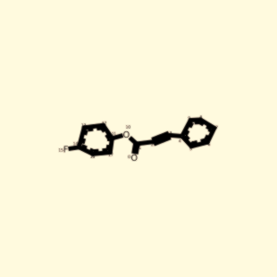 O=C(C#Cc1ccccc1)Oc1ccc(F)cc1